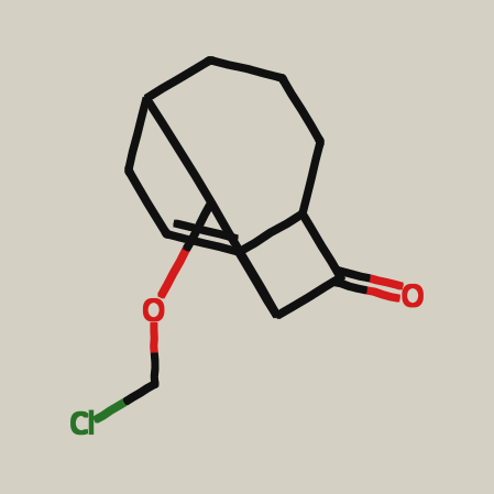 O=C1C2CCCC3CC=C2C1C3OCCl